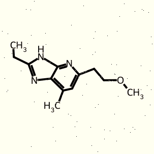 CCc1nc2c(C)cc(CCOC)nc2[nH]1